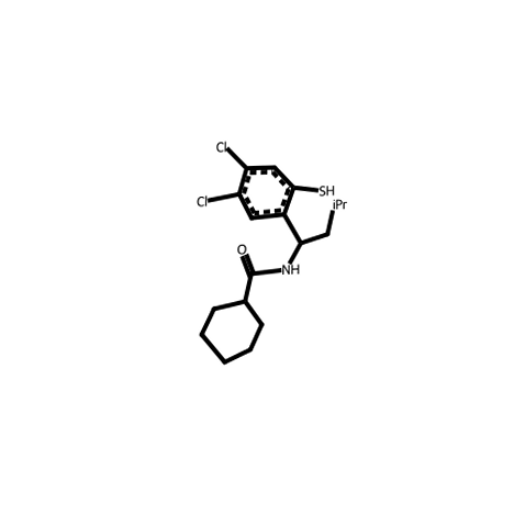 CC(C)CC(NC(=O)C1CCCCC1)c1cc(Cl)c(Cl)cc1S